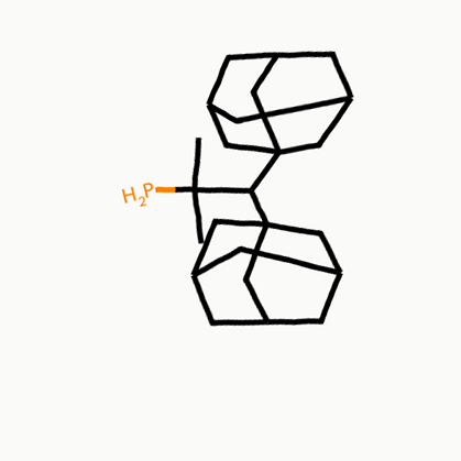 CC(C)(P)C(C12CC3CC(CC(C3)C1)C2)C12CC3CC(CC(C3)C1)C2